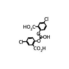 O=C(O)c1cc(Cl)ccc1OB(O)Oc1ccc(Cl)cc1C(=O)O